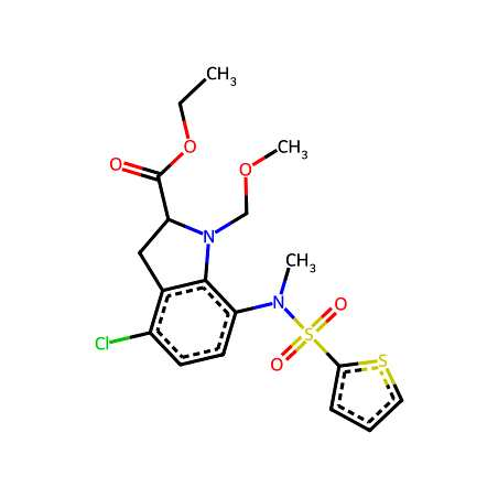 CCOC(=O)C1Cc2c(Cl)ccc(N(C)S(=O)(=O)c3cccs3)c2N1COC